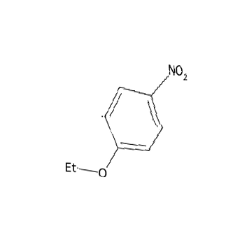 CCOc1[c]cc([N+](=O)[O-])cc1